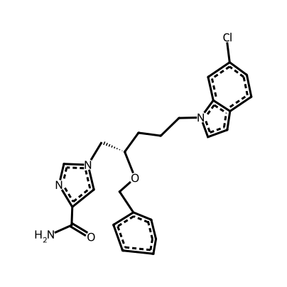 NC(=O)c1cn(C[C@H](CCCn2ccc3ccc(Cl)cc32)OCc2ccccc2)cn1